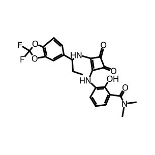 CCC(Nc1c(Nc2cccc(C(=O)N(C)C)c2O)c(=O)c1=O)c1ccc2c(c1)OC(F)(F)O2